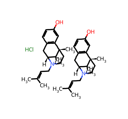 CC(C)=CCN1CC[C@@]2(C)c3cc(O)ccc3C[C@@H]1[C@@H]2C.CC(C)=CCN1CC[C@@]2(C)c3cc(O)ccc3C[C@@H]1[C@@H]2C.Cl